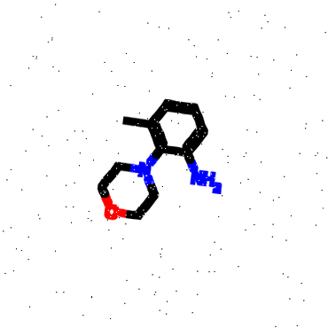 Cc1cccc(N)c1N1CCOCC1